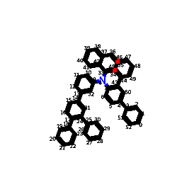 c1ccc(-c2ccc(N(c3cccc(-c4ccc(-c5ccccc5)c(-c5ccccc5)c4)c3)c3cccc4ccccc34)c(-c3ccccc3)c2)cc1